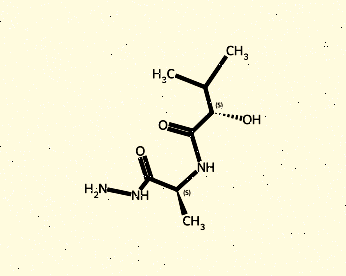 CC(C)[C@H](O)C(=O)N[C@@H](C)C(=O)NN